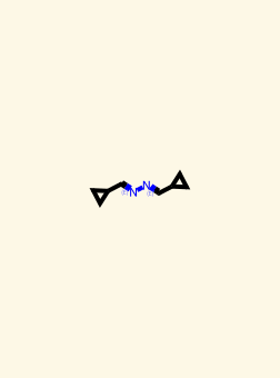 C(=N\N=C\C1CC1)/C1CC1